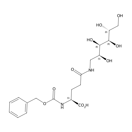 O=C(CC[C@H](NC(=O)OCc1ccccc1)C(=O)O)NC[C@H](O)[C@@H](O)[C@H](O)[C@H](O)CO